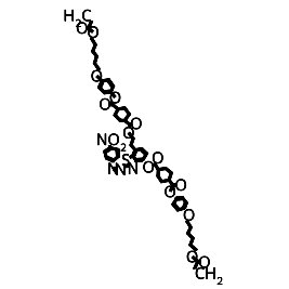 C=CC(=O)OCCCCCCOc1ccc(OC(=O)C2CCC(C(=O)OCCc3ccc(OC(=O)C4CCC(C(=O)Oc5ccc(OCCCCCCOC(=O)C=C)cc5)CC4)c4nc(/N=N\c5ccc([N+](=O)[O-])cc5)sc34)CC2)cc1